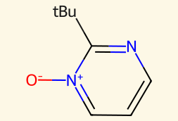 CC(C)(C)c1nccc[n+]1[O-]